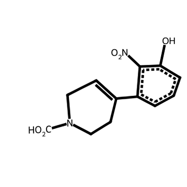 O=C(O)N1CC=C(c2cccc(O)c2[N+](=O)[O-])CC1